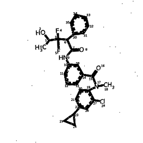 CC(O)C(F)(F)C(C(=O)Nc1cccc(C(=O)N(C)c2ccc(C3CC3)cc2Cl)c1)c1ccccc1